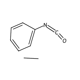 CC.O=C=Nc1ccccc1